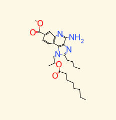 CCCCCCCC(=O)OC(C)Cn1c(CCCC)nc2c(N)nc3cc(C(=O)OC)ccc3c21